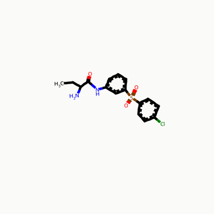 CCC(N)C(=O)Nc1cccc(S(=O)(=O)c2ccc(Cl)cc2)c1